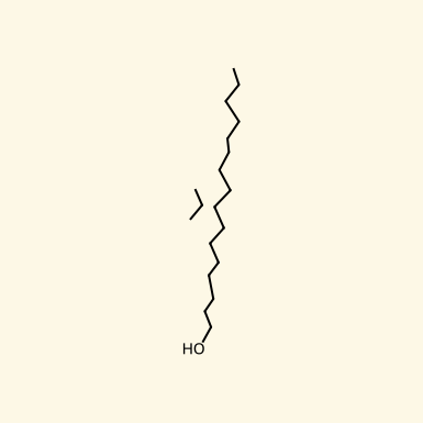 CCC.CCCCCCCCCCCCCCCCO